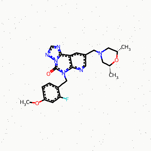 COc1ccc(Cn2c(=O)n3ncnc3c3cc(CN4C[C@@H](C)O[C@@H](C)C4)cnc32)c(F)c1